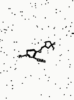 COc1cc(C(C)C)ccc1OCC1CCC(F)(F)C1